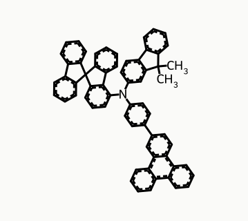 CC1(C)c2ccccc2-c2ccc(N(c3ccc(-c4ccc5c6ccccc6c6ccccc6c5c4)cc3)c3cccc4c3-c3ccccc3C43c4ccccc4-c4ccccc43)cc21